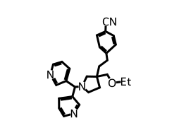 CCOCC1(CCc2ccc(C#N)cc2)CCN(C(c2cccnc2)c2cccnc2)C1